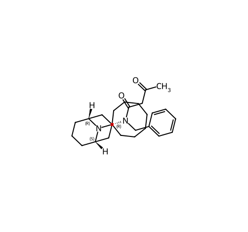 CC(=O)CC(=O)N(Cc1ccccc1)[C@H]1C[C@H]2CCC[C@@H](C1)N2C1CCCCCCC1